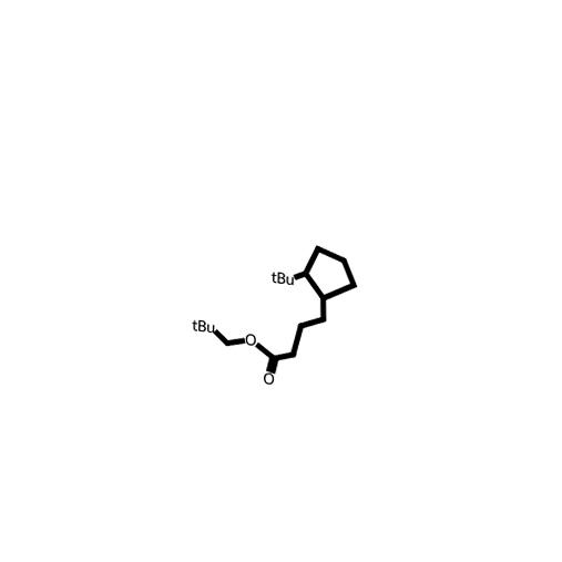 CC(C)(C)COC(=O)CCCC1CCCC1C(C)(C)C